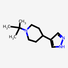 CC(C)(C)N1CCC(c2cn[nH]c2)CC1